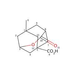 CC12CC3CC(C(=O)O)(CC(C1)C(=O)O3)C2